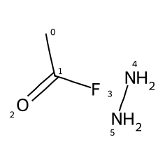 CC(=O)F.NN